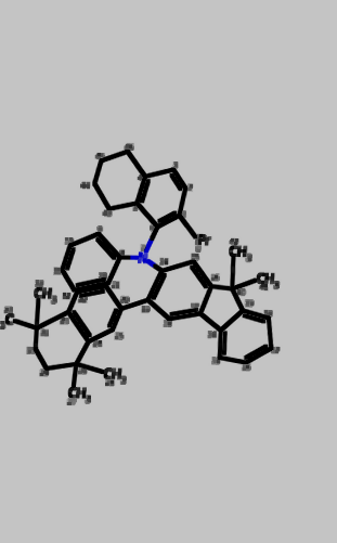 CC(C)c1ccc2c(c1N(c1ccccc1)c1cc3c(cc1-c1ccc4c(c1)C(C)(C)CCC4(C)C)-c1ccccc1C3(C)C)CCCC2